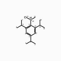 CC(C)c1cc(C(C)C)c([SiH](C)Cl)c(C(C)C)c1